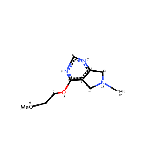 COCCOc1ncnc2c1CN(C(C)(C)C)C2